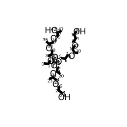 CCO[Si](OCCCOC(C)COCCCO)(OCC(C)OC(C)COCCCO)OC(C)COC(C)COCC(C)O